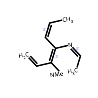 C=C/C(NC)=C(\C=C/C)/N=C\C